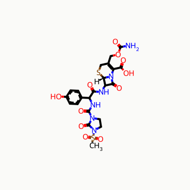 CS(=O)(=O)N1CCN(C(=O)NC(C(=O)NC2C(=O)N3C(C(=O)O)=C(COC(N)=O)CS[C@@H]23)c2ccc(O)cc2)C1=O